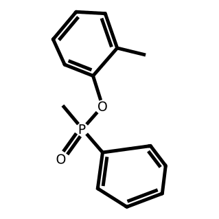 Cc1ccccc1OP(C)(=O)c1ccccc1